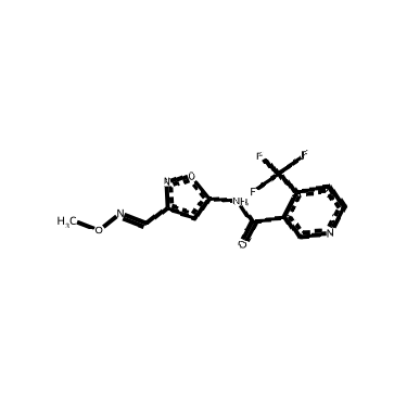 CON=Cc1cc(NC(=O)c2cnccc2C(F)(F)F)on1